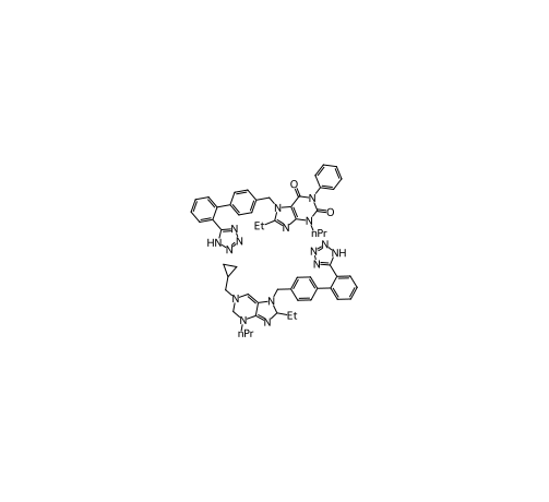 CCCN1CN(CC2CC2)C=C2C1=NC(CC)N2Cc1ccc(-c2ccccc2-c2nnn[nH]2)cc1.CCCn1c(=O)n(-c2ccccc2)c(=O)c2c1nc(CC)n2Cc1ccc(-c2ccccc2-c2nnn[nH]2)cc1